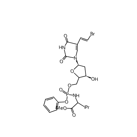 COC(=O)C(NP(=O)(OCC1O[C@@H](n2cc(/C=C/Br)c(=O)[nH]c2=O)C[C@H]1O)Oc1ccccc1)C(C)C